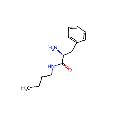 CCCCNC(=O)[C@@H](N)Cc1ccccc1